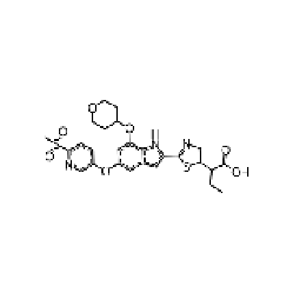 CCC(C(=O)O)C1CN=C(c2cc3cc(Oc4ccc(S(C)(=O)=O)nc4)cc(OC4CCOCC4)c3[nH]2)S1